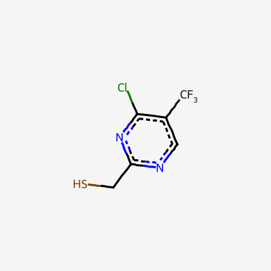 FC(F)(F)c1cnc(CS)nc1Cl